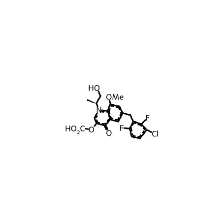 COc1cc(Cc2c(F)ccc(Cl)c2F)cc2c(=O)c(OC(=O)O)cn([C@@H](C)CO)c12